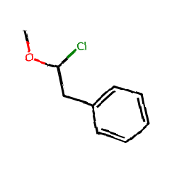 COC(Cl)Cc1ccccc1